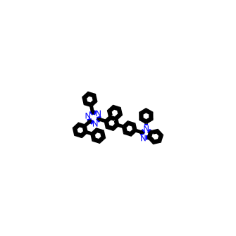 c1ccc(-c2nc(-c3ccccc3-c3ccccc3)nc(-c3ccc(-c4ccc(-c5nc6ccccc6n5-c5ccccc5)cc4)c4ccccc34)n2)cc1